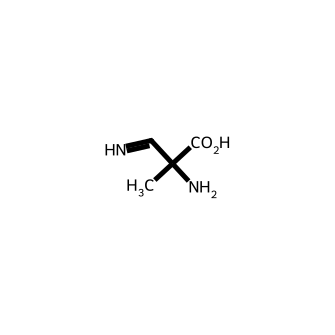 CC(N)(C=N)C(=O)O